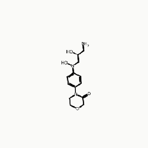 BC[C@H](O)CN(O)c1ccc(N2CCOCC2=O)cc1